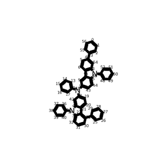 c1ccc(-c2ccc3c4cc(N(c5ccccc5)c5ccc6c7c(-c8ccccc8)cccc7n(-c7ccccc7)c6c5)ccc4n(-c4ccccc4)c3c2)cc1